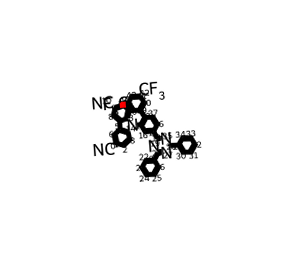 N#Cc1ccc2c(c1)c1cc(C#N)ccc1n2-c1cc(-c2nc(-c3ccccc3)nc(-c3ccccc3)n2)ccc1-c1cc(C(F)(F)F)cc(C(F)(F)F)c1